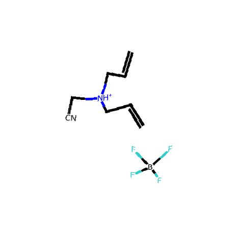 C=CC[NH+](CC#N)CC=C.F[B-](F)(F)F